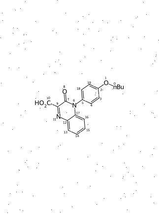 CCCCOc1ccc(-n2c(=O)c(C(=O)O)nc3ccccc32)cc1